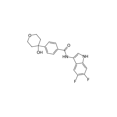 O=C(Nc1c[nH]c2cc(F)c(F)cc12)c1ccc(C2(O)CCOCC2)cc1